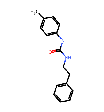 Cc1ccc(NC(=O)NCCc2ccccc2)cc1